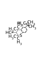 C#CC1C(C)(C)Sc2ccc([Si](C)(C)C)cc2C1(C)C